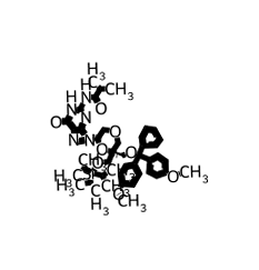 COc1ccc(C(OC[C@]2(CO[Si](C(C)C)(C(C)C)C(C)C)COC[C@H](n3cnc4c(=O)[nH]c(NC(=O)C(C)C)nc43)O2)(c2ccccc2)c2ccc(OC)cc2)cc1